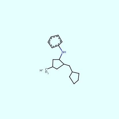 CC1CC(CC2CCCC2)C(Nc2ccccc2)C1.[H+]